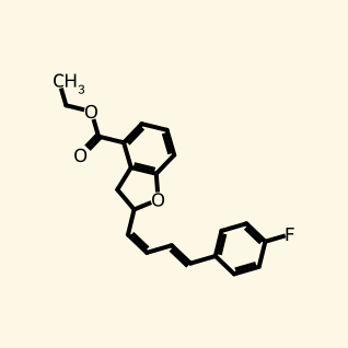 CCOC(=O)c1cccc2c1CC(/C=C\C=C\c1ccc(F)cc1)O2